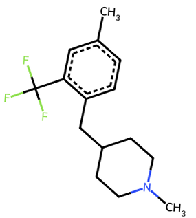 Cc1ccc(CC2CCN(C)CC2)c(C(F)(F)F)c1